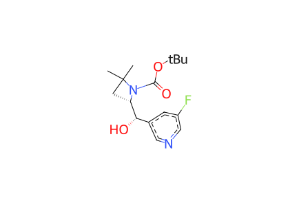 CC(C)(C)OC(=O)N1[C@H]([C@@H](O)c2cncc(F)c2)CC1(C)C